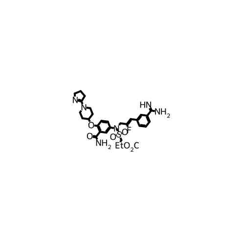 CCOC(=O)CS(=O)(=O)N(C/C(F)=C/c1cccc(C(=N)N)c1)c1ccc(OC2CCN(C3=NCCC3)CC2)c(C(N)=O)c1